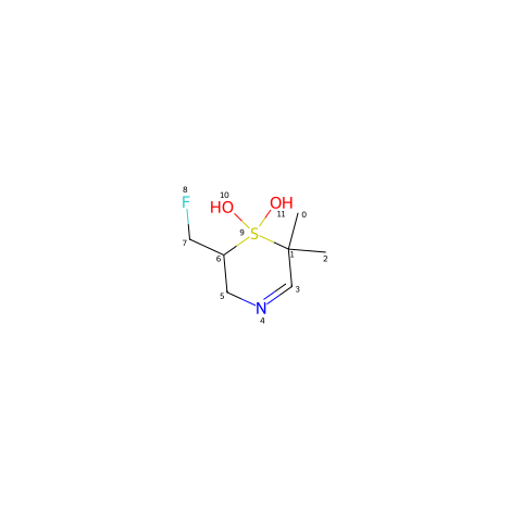 CC1(C)C=NCC(CF)S1(O)O